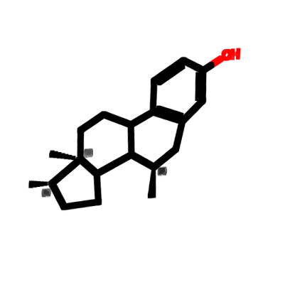 C[C@@H]1Cc2cc(O)ccc2C2CC[C@@]3(C)C(CC[C@@H]3C)C21